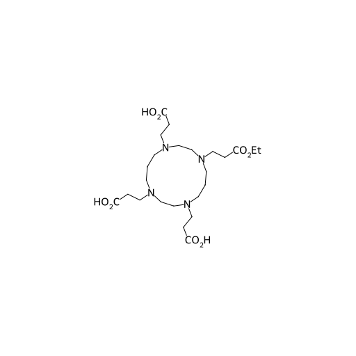 CCOC(=O)CCN1CCCN(CCC(=O)O)CCN(CCC(=O)O)CCCN(CCC(=O)O)CC1